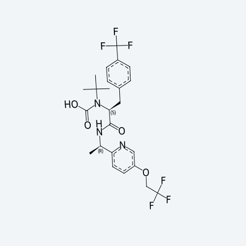 C[C@@H](NC(=O)[C@H](Cc1ccc(C(F)(F)F)cc1)N(C(=O)O)C(C)(C)C)c1ccc(OCC(F)(F)F)cn1